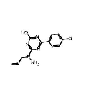 C=CCN(N)c1nc(O)nc(-c2ccc(Cl)cc2)n1